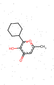 Cc1cc(=O)c(O)c(C2CCCCC2)o1